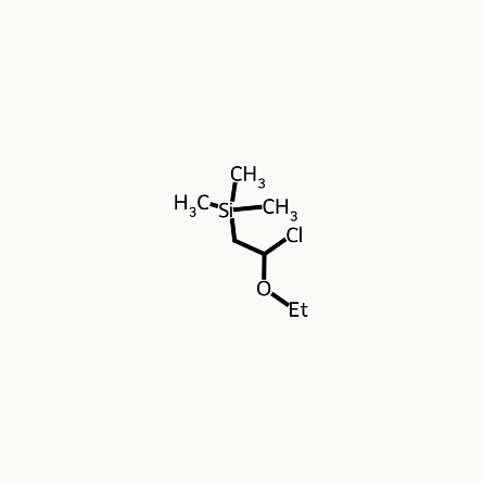 CCOC(Cl)C[Si](C)(C)C